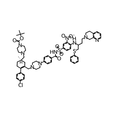 CC(C)(C)OC(=O)N1CCN(C[C@]2(C)CCC(c3ccc(Cl)cc3)=C(CN3CCN(c4ccc(C(=O)NS(=O)(=O)c5ccc(NC(CCN6CCc7cccnc7C6)CSc6ccccc6)c([N+](=O)[O-])c5)cc4)CC3)C2)CC1